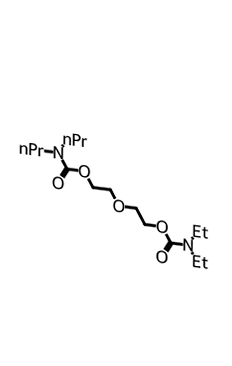 CCCN(CCC)C(=O)OCCOCCOC(=O)N(CC)CC